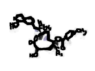 C/C(=C\c1ccc2ccnc(O)c2c1)[C@H]1OC(=O)C[C@H](O)CC[C@H](C)[C@@H](OC(=O)N2CCN(C)CC2)/C=C/[C@@H]1C